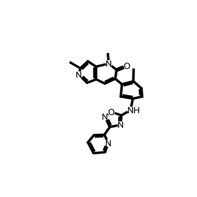 Cc1cc2c(cn1)cc(-c1cc(Nc3nc(-c4ccccn4)no3)ccc1C)c(=O)n2C